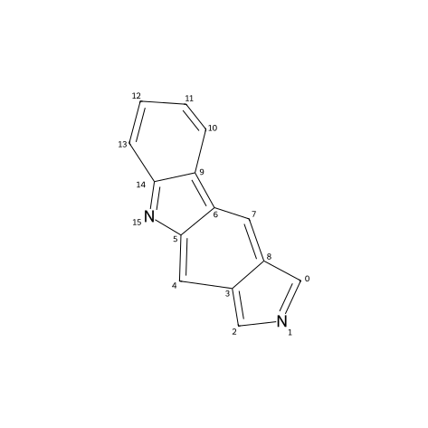 C1=NC=c2cc3c(cc21)=c1ccccc1=N3